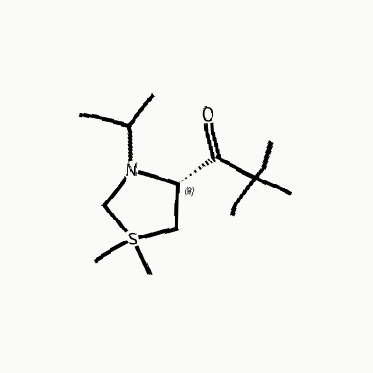 CC(C)N1CS(C)(C)C[C@H]1C(=O)C(C)(C)C